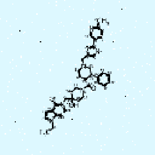 Cc1ccc(-c2ncc(CN3CC[C@@H](C(=O)N4CCC(O)(Cn5cnc6c(ccn6CC(F)(F)F)c5=O)CC4)[C@H](c4ccccc4)C3)s2)cn1